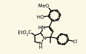 CCOC(=O)C1CNN2C1NC(c1cccc(OC)c1O)=CC2(C)c1ccc(Cl)cc1